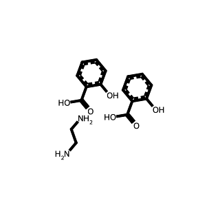 NCCN.O=C(O)c1ccccc1O.O=C(O)c1ccccc1O